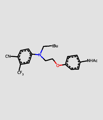 [C-]#[N+]c1ccc(N(CCOc2ccc(NC(C)=O)cc2)CC(C)(C)C)cc1C(F)(F)F